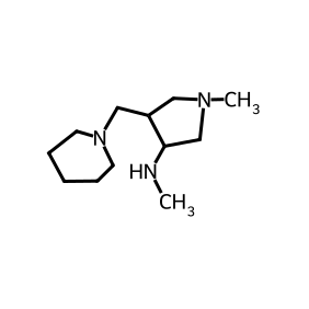 CNC1CN(C)CC1CN1CCCCC1